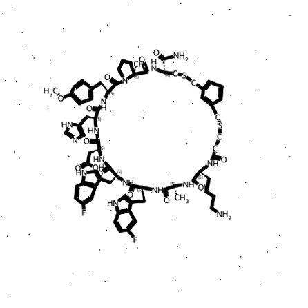 COc1ccc(C[C@@H]2NC(=O)[C@H](Cc3cnc[nH]3)NC(=O)[C@H](CC(=O)O)NC(=O)[C@H](Cc3c[nH]c4ccc(F)cc34)NC(=O)[C@H](Cc3c[nH]c4ccc(F)cc34)NC(=O)[C@@H](C)NC(O)[C@H](CCCCN)NC(=O)CCSCc3cccc(c3)CSC[C@@H](C(N)=O)NC(=O)[C@]3(C)CCCN3C2=O)cc1